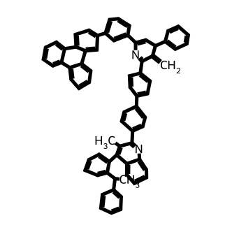 C=C1C(c2ccc(-c3ccc(-c4nc5ccccc5c(-c5ccccc5C(C)c5ccccc5)c4C)cc3)cc2)=NC(c2cccc(-c3ccc4c5ccccc5c5ccccc5c4c3)c2)=CC1c1ccccc1